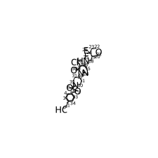 C#Cc1ccc(S(=O)(=O)N2CCC(n3ncc(NC[C@@H]4COCCC4(F)F)c(Cl)c3=O)CC2)cc1